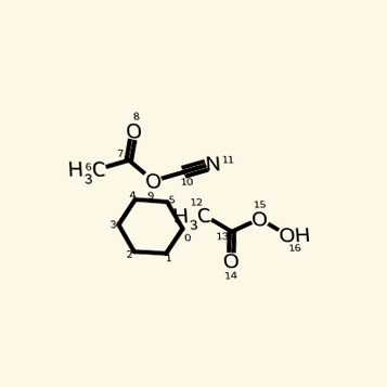 C1CCCCC1.CC(=O)OC#N.CC(=O)OO